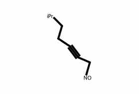 CC(C)CCC#CCN=O